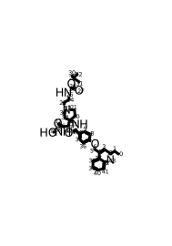 CCc1cc(COc2ccc(C(=O)NC3(CC(=O)NO)CCN(CCNC(=O)OC(C)(C)C)CC3)cc2)c2ccccc2n1